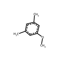 COc1cc(C)[c]c(C)c1